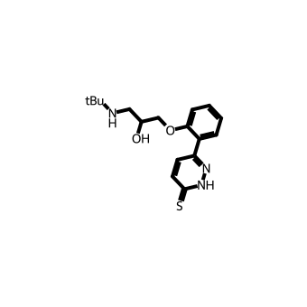 CC(C)(C)NCC(O)COc1ccccc1-c1ccc(=S)[nH]n1